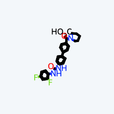 O=C(Nc1ccc(-c2ccc(C(=O)N3CCCC[C@H]3C(=O)O)cc2)cc1)Nc1ccc(F)cc1F